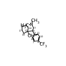 CN(C)CC(c1ccc(C(F)(F)F)cc1)C1(O)CCCCC1